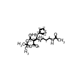 CC(=O)NCCCNC(Nc1ccsc1)=C1C(=O)OC(C)(C)OC1=O